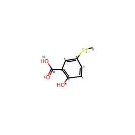 CSc1ccc(O)c(C(=O)O)c1